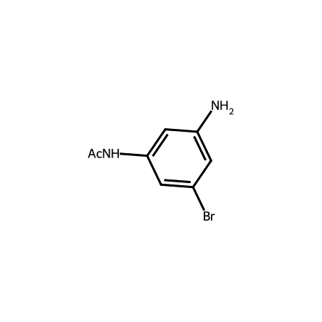 CC(=O)Nc1cc(N)cc(Br)c1